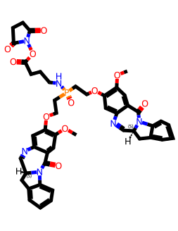 COc1cc2c(cc1OCCP(=O)(CCOc1cc3c(cc1OC)C(=O)N1c4ccccc4C[C@H]1C=N3)NCCCC(=O)ON1C(=O)CCC1=O)N=C[C@@H]1Cc3ccccc3N1C2=O